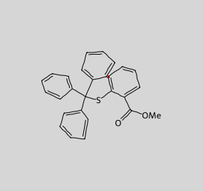 COC(=O)c1ccccc1SC(c1ccccc1)(c1ccccc1)c1ccccc1